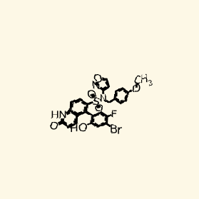 COc1ccc(CN(c2ccon2)S(=O)(=O)c2ccc3[nH]c(=O)ccc3c2-c2cc(F)c(Br)cc2O)cc1